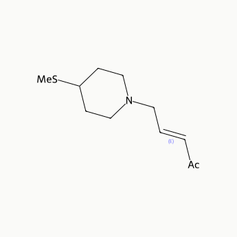 CSC1CCN(C/C=C/C(C)=O)CC1